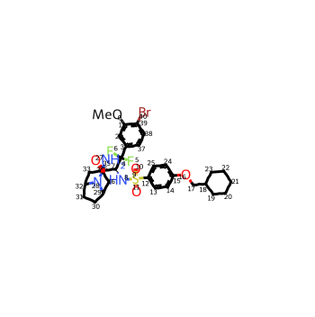 COc1cc(C(F)(F)[C@H](NS(=O)(=O)c2ccc(OCC3CCCCC3)cc2)C(=O)N2C3CCC2CC(N)C3)ccc1Br